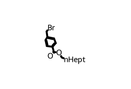 CCCCCCCCOC(=O)c1ccc(CBr)cc1